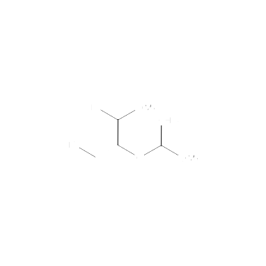 COC(C=O)O[C@H](CO)C(C=O)OC